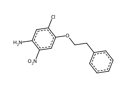 Nc1cc(Cl)c(OCCc2ccccc2)cc1[N+](=O)[O-]